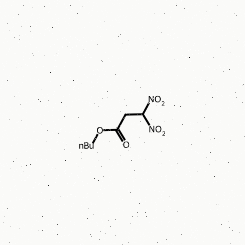 CCCCOC(=O)CC([N+](=O)[O-])[N+](=O)[O-]